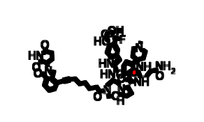 CN1CCC(NC(=O)[C@H](CCC(N)=O)NC(=O)[C@@H]2CC[C@@H]3CCN(C(=O)CCCCCC#Cc4cccc5c4CN(C4CCC(=O)NC4=O)C5=O)C[C@H](NC(=O)c4cc5cc(C(F)(F)P(=O)(O)O)ccc5[nH]4)C(=O)N32)(c2ccccc2)CC1